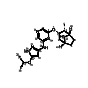 C[C@@H]1[C@@H]2CC[C@H](C[C@@H]1Oc1cncc(Nc3cc(OC(F)F)[nH]n3)n1)N2